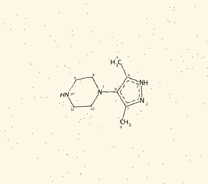 Cc1n[nH]c(C)c1N1CCNCC1